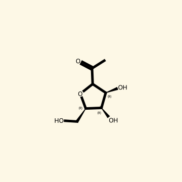 CC(=O)[C]1O[C@H](CO)[C@H](O)[C@@H]1O